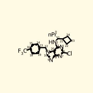 CCC[C@@H](Nc1nc(Cl)nc2ncn(Cc3ccc(C(F)(F)F)cc3)c12)C1CCC1